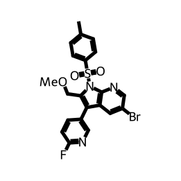 COCc1c(-c2ccc(F)nc2)c2cc(Br)cnc2n1S(=O)(=O)c1ccc(C)cc1